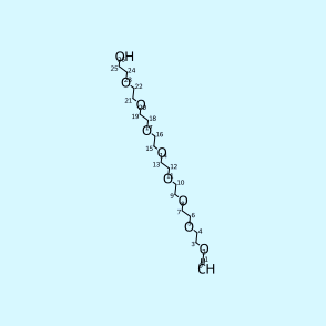 C#COCCOCCOCCOCCOCCOCCOCCOCCO